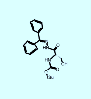 CC(C)(C)OC(=O)N[C@@H](CO)C(=O)NN=C(c1ccccc1)c1ccccc1